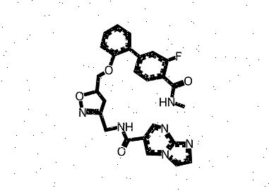 CNC(=O)c1ccc(-c2ccccc2OCC2CC(CNC(=O)c3cnc4nccn4c3)=NO2)cc1F